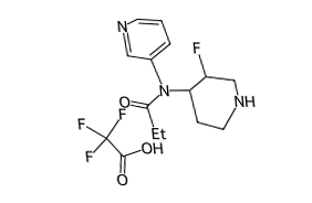 CCC(=O)N(c1cccnc1)C1CCNCC1F.O=C(O)C(F)(F)F